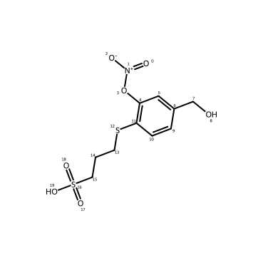 O=[N+]([O-])Oc1cc(CO)ccc1SCCCS(=O)(=O)O